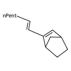 CCCCCC=CC1=CC2CCC1C2